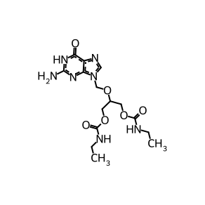 CCNC(=O)OCC(COC(=O)NCC)OCn1cnc2c(=O)[nH]c(N)nc21